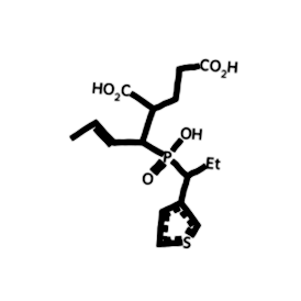 CC=CC(C(CCC(=O)O)C(=O)O)P(=O)(O)C(CC)c1ccsc1